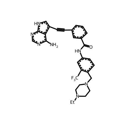 CCN1CCN(Cc2ccc(NC(=O)c3cccc(C#Cc4c[nH]c5ncnc(N)c45)c3)cc2C(F)(F)F)CC1